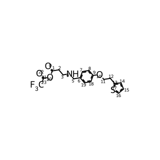 O=C(CCNCc1ccc(OCCc2cccs2)cc1)OC(=O)C(F)(F)F